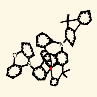 CC1(C)c2ccccc2-c2ccc(N(c3ccc4c(c3)C3(c5ccccc5-c5c(N6c7ccccc7Oc7ccccc76)cccc53)c3ccccc3C4(C)C)c3ccccc3-c3ccccc3)cc21